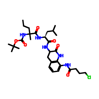 CCCC(C)(NC(=O)OC(C)(C)C)C(=O)N[C@H](CC(C)C)C(=O)NC1Cc2cccc(NC(=O)CCCCl)c2NC1=O